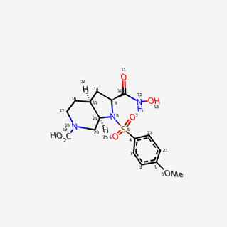 COc1ccc(S(=O)(=O)N2[C@H](C(=O)NO)C[C@@H]3CCN(C(=O)O)C[C@@H]32)cc1